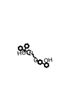 Oc1ccccc1-c1ccc(OCCCN2CCC(C(O)(c3ccccc3)c3ccccc3)CC2)cc1